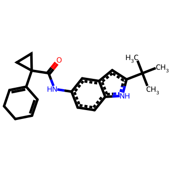 CC(C)(C)c1cc2cc(NC(=O)C3(C4=CCCC=C4)CC3)ccc2[nH]1